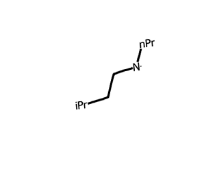 CCC[N]CCC(C)C